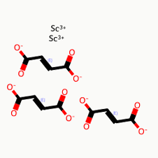 O=C([O-])/C=C/C(=O)[O-].O=C([O-])/C=C/C(=O)[O-].O=C([O-])/C=C/C(=O)[O-].[Sc+3].[Sc+3]